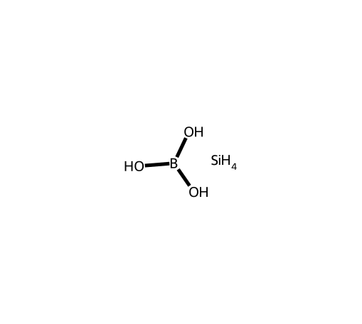 OB(O)O.[SiH4]